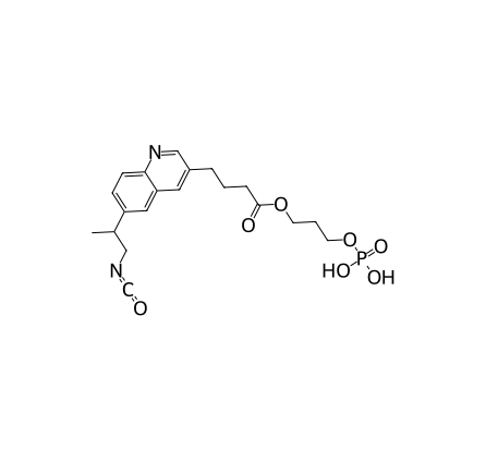 CC(CN=C=O)c1ccc2ncc(CCCC(=O)OCCCOP(=O)(O)O)cc2c1